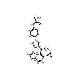 COC(=O)Nc1ccc(-n2cc([C@H](O)c3c(C4CC4)ncc4cncn34)nn2)cc1